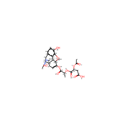 CC(=O)O[C@@H](CC(=O)O)C(=O)O[C@@H](C)C(=O)OC1=CC[C@@]2(O)C3Cc4ccc(O)c5c4[C@@]2(CCN3C)[C@H]1O5